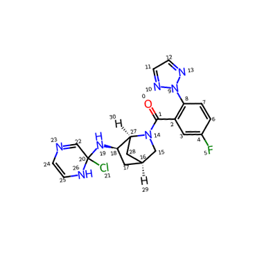 O=C(c1cc(F)ccc1-n1nccn1)N1C[C@H]2C[C@@H](NC3(Cl)C=NC=CN3)[C@@H]1C2